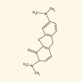 CN(C)c1ccc2c(c1)SC1=C(C=CC(N(C)C)C1=O)C2